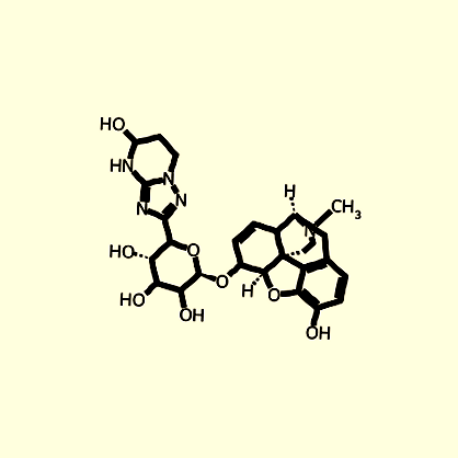 CN1CC[C@]23c4c5ccc(O)c4O[C@H]2C(O[C@@H]2OC(c4nc6n(n4)CCC(O)N6)[C@@H](O)C(O)C2O)C=CC3[C@H]1C5